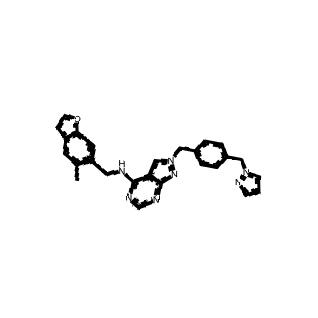 Cc1cc2ccoc2cc1CNc1ncnc2nn(Cc3ccc(Cn4cccn4)cc3)cc12